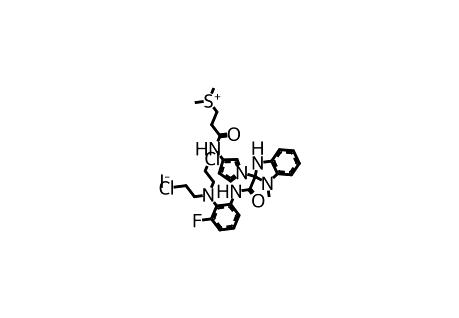 CN1c2ccccc2NC1(C(=O)Nc1cccc(F)c1N(CCCl)CCCl)n1ccc(NC(=O)CC[S+](C)C)c1.[I-]